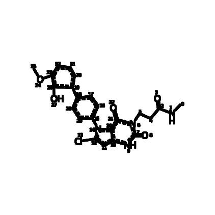 CNC(=O)CCn1c(=O)[nH]c2cc(Cl)n(-c3ccc(-c4cccc(OC)c4O)cc3)c2c1=O